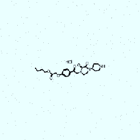 CCCCOC(=O)COc1ccc(C(=O)CN2CCN(C3CCNCC3)C(=O)C2=O)cc1.Cl